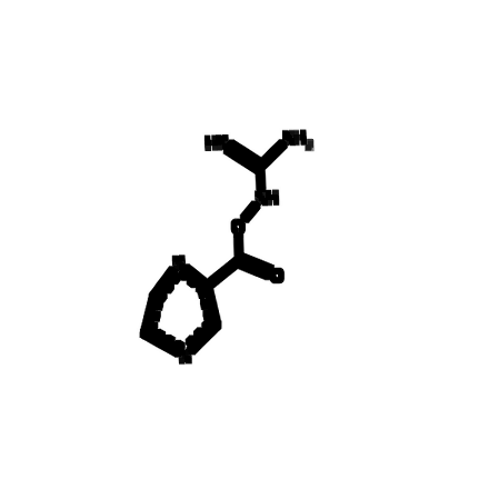 N=C(N)NOC(=O)c1cnccn1